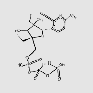 Nc1ccn([C@@H]2O[C@](CF)(COP(=O)(O)OP(=O)(O)OP(=O)(O)O)C(O)[C@]2(O)CF)c(=O)n1